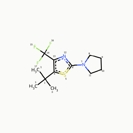 CC(C)(C)c1sc(N2CCCC2)nc1C(F)(F)F